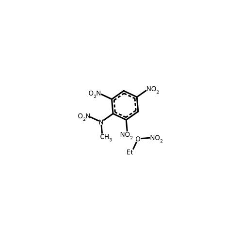 CCO[N+](=O)[O-].CN(c1c([N+](=O)[O-])cc([N+](=O)[O-])cc1[N+](=O)[O-])[N+](=O)[O-]